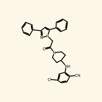 N#Cc1ccc(Cl)cc1NC1CCN(C(=O)Cn2nc(-c3ccccc3)cc2-c2ccccc2)CC1